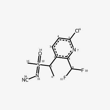 CC(c1ccc(Cl)nc1C(F)F)S(C)(=O)=NC#N